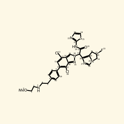 COCCNCCc1ccc(-c2cc(Cl)c3cn(C(C(=O)Nc4nccs4)c4ncn5c4C[C@@H](F)C5)nc3c2Cl)cc1